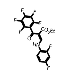 CCOC(=O)C(=CNc1ccc(F)cc1F)C(=O)c1c(F)c(F)c(F)c(F)c1F